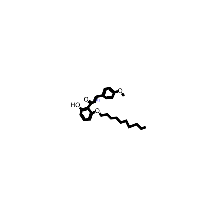 CCCCCCCCCCOc1cccc(O)c1C(=O)/C=C/c1ccc(OC)cc1